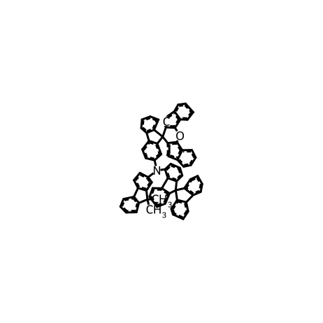 CC1(C)c2ccccc2-c2ccc(N(c3ccc4c(c3)C3(c5ccccc5-4)c4ccc5ccccc5c4Oc4c3ccc3ccccc43)c3cccc4c3-c3ccccc3C43c4ccccc4-c4ccccc43)cc21